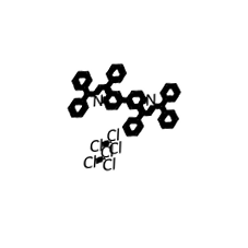 ClC(Cl)Cl.ClC(Cl)Cl.c1ccc(-c2cc(C(c3ccccc3)c3ccccc3)nc3ccc(-c4ccc5nc(C(c6ccccc6)c6ccccc6)cc(-c6ccccc6)c5c4)cc23)cc1